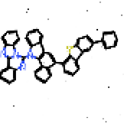 c1ccc(-c2ccc3sc4c(-c5cc6c7ccccc7n(-c7nc8ccccc8c8nc9ccccc9n78)c6c6ccccc56)cccc4c3c2)cc1